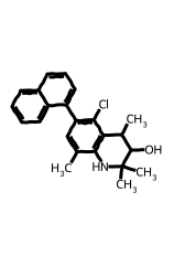 Cc1cc(-c2cccc3ccccc23)c(Cl)c2c1NC(C)(C)C(O)C2C